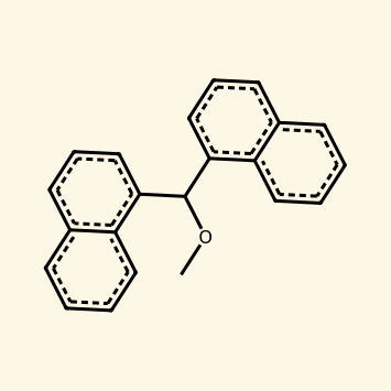 COC(c1cccc2ccccc12)c1cccc2ccccc12